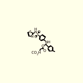 Cc1ccc(C(Nc2ccc(S(=O)(=O)Nc3nccs3)cc2)OC(=O)CC(=O)O)cc1